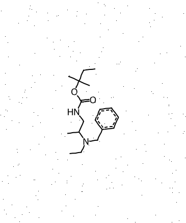 CCN(Cc1ccccc1)C(C)CNC(=O)OC(C)(C)CC